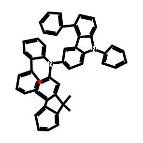 CC1(C)c2ccccc2-c2ccc(N(c3ccc4c(c3)c3c(-c5ccccc5)cccc3n4-c3ccccc3)c3ccccc3-c3ccccc3)cc21